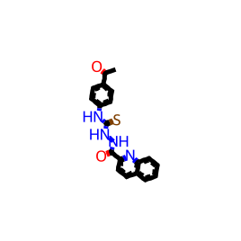 CC(=O)c1ccc(NC(=S)NNC(=O)c2ccc3ccccc3n2)cc1